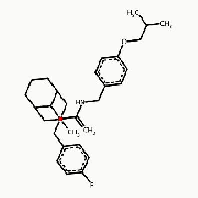 C=C(NCc1ccc(OCC(C)C)cc1)N(Cc1ccc(F)cc1)C1C2CCCC1CN(C)C2